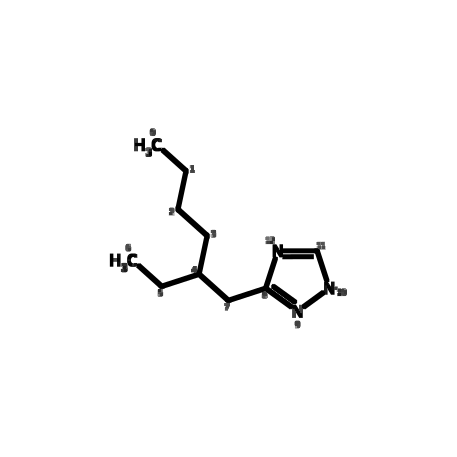 CCCCC(CC)CC1=N[N]C=N1